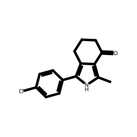 Cc1[nH]c(-c2ccc(Cl)cc2)c2c1C(=O)CCC2